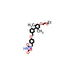 CCOCCOc1cc(C)c(-c2cccc(COc3ccc(Cn4oc(=O)[nH]c4=O)cc3)c2)c(C)c1